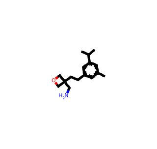 Cc1cc(CCC2(CN)COC2)cc(C(C)C)c1